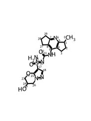 CC1CCc2c1nc1c(c2NC(=O)N=S(N)(=O)c2cnn3c2OCC(O)C3)CCC1